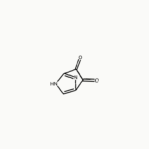 O=C1C(=O)c2nc1c[nH]2